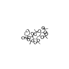 CC(=O)OCC(OC(C)=O)C(OC(C)=O)C(OC(C)=O)C(OC(C)=O)C(=O)OC1(N=O)CCOCC1